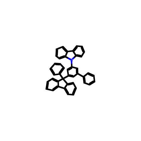 c1ccc(-c2cc(-n3c4ccccc4c4ccccc43)cc(C3(c4ccccc4)c4ccccc4-c4ccccc43)c2)cc1